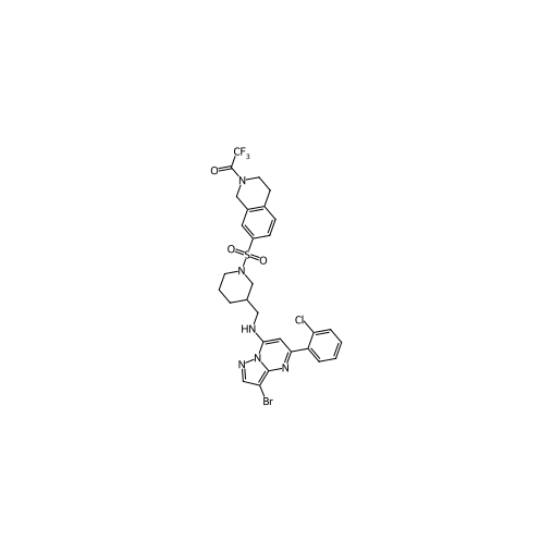 O=C(N1CCc2ccc(S(=O)(=O)N3CCCC(CNc4cc(-c5ccccc5Cl)nc5c(Br)cnn45)C3)cc2C1)C(F)(F)F